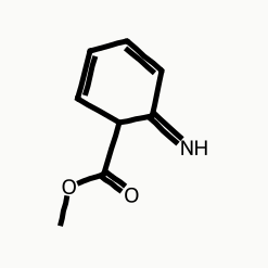 COC(=O)C1C=CC=CC1=N